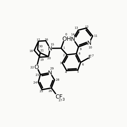 OC(c1cccc(F)c1-c1ncccn1)N1CC2CCC1C(Oc1ccc(C(F)(F)F)cn1)C2